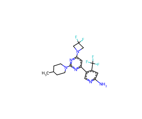 CC1CCN(c2nc(-c3cnc(N)cc3C(F)(F)F)cc(N3CC(F)(F)C3)n2)CC1